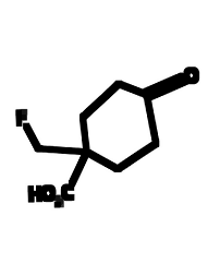 O=C1CCC(CF)(C(=O)O)CC1